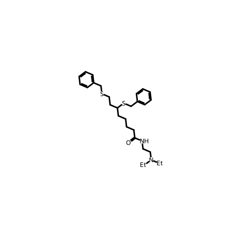 CCN(CC)CCNC(=O)CCCCC(CCSCc1ccccc1)SCc1ccccc1